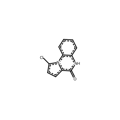 O=c1[nH]c2ccccc2n2c(Cl)ccc12